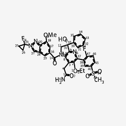 CCOc1c(CC(N)=O)cc([C@@](O)(CNC(=O)c2cc(OC)c3nn(C4(F)CC4)cc3c2)c2ccccc2)nc1-c1cc(S(C)(=O)=O)ccc1F